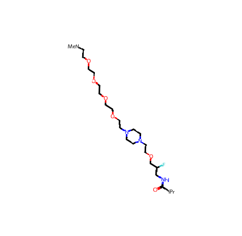 CNCCOCCOCCOCCOCCN1CCN(CCOCC(F)CNC(=O)C(C)C)CC1